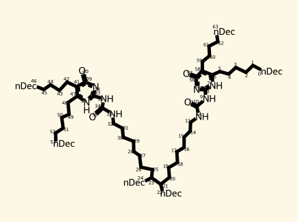 CCCCCCCCCCCCCCCc1[nH]c(NC(=O)NCCCCCCCCC(CCCCCCCCCC)C(CCCCCCCCCC)CCCCCCCCNC(=O)Nc2nc(=O)c(CCCCCCCCCCCCCC)c(CCCCCCCCCCCCCCC)[nH]2)nc(=O)c1CCCCCCCCCCCCCC